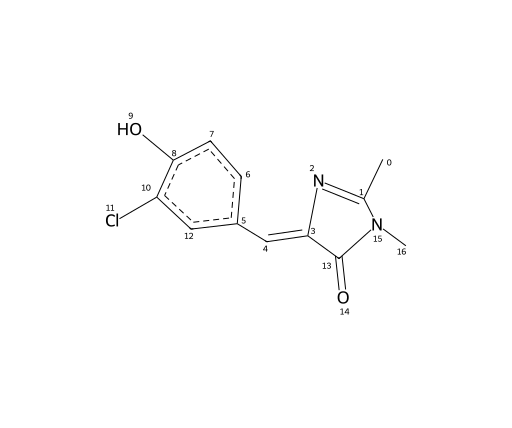 CC1=N/C(=C\c2ccc(O)c(Cl)c2)C(=O)N1C